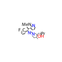 C=C(C(/N=C/N1CCC(C)C(O)(CC(C)C)C1)=C(/C=C\C)C(F)(F)F)c1cccnc1NC